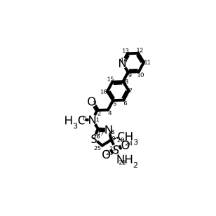 CN(C(=O)Cc1ccc(-c2ccccn2)cc1)C1=N[C@@](C)(S(N)(=O)=O)CS1